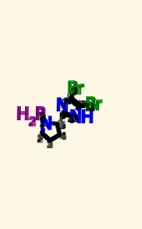 PN1CCC[C@H]1c1nc(Br)c(Br)[nH]1